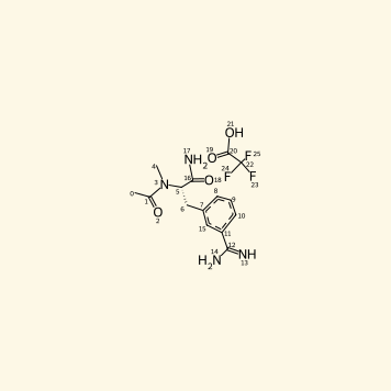 CC(=O)N(C)[C@@H](Cc1cccc(C(=N)N)c1)C(N)=O.O=C(O)C(F)(F)F